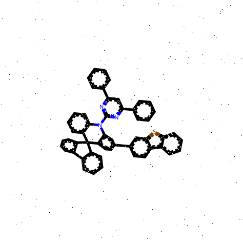 c1ccc(-c2cc(-c3ccccc3)nc(N3c4ccccc4C4(c5ccccc5-c5ccccc54)c4ccc(-c5ccc6c(c5)sc5ccccc56)cc43)n2)cc1